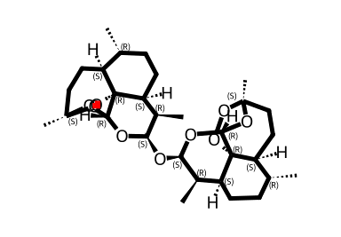 C[C@H]1[C@@H](O[C@H]2O[C@@H]3O[C@]4(C)CC[C@H]5[C@H](C)CC[C@@H]([C@H]2C)[C@@]35OO4)O[C@@H]2O[C@]3(C)CC[C@H]4[C@H](C)CC[C@@H]1[C@@]24OO3